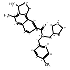 C[C@H]1OCc2c1c(N)nc1ccc(C(=O)N(Cc3ccc(C(F)(F)F)cn3)C[C@@H]3CCOC3)cc21